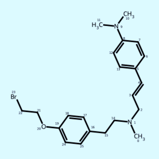 CN(C/C=C/c1ccc(N(C)C)cc1)CCc1ccc(OCCBr)cc1